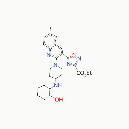 CCOC(=O)c1noc(-c2cc3cc(C)ccc3nc2N2CCC(NC3CCCCC3O)CC2)n1